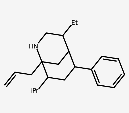 C=CCC12CC(C(CC)CN1)C(c1ccccc1)CC2C(C)C